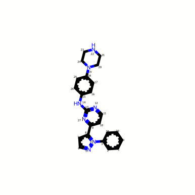 c1ccc(-n2nccc2-c2ccnc(Nc3ccc(N4CCNCC4)cc3)n2)cc1